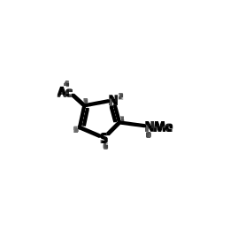 CNc1nc(C(C)=O)cs1